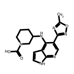 Cc1nc(-c2cnc3[nH]ccc3c2NC2CCCN(C(=O)O)C2)no1